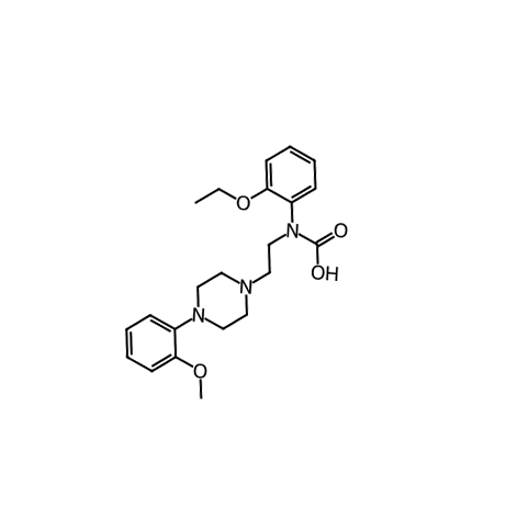 CCOc1ccccc1N(CCN1CCN(c2ccccc2OC)CC1)C(=O)O